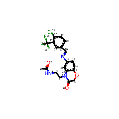 CC(=O)NCCN1C(=O)COc2ccc(N=Cc3ccc(Cl)c(C(F)(F)F)c3)cc21